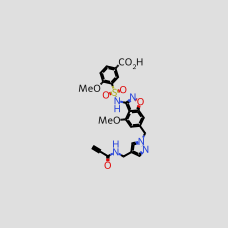 C#CC(=O)NCc1cnn(Cc2cc(OC)c3c(NS(=O)(=O)c4cc(C(=O)O)ccc4OC)noc3c2)c1